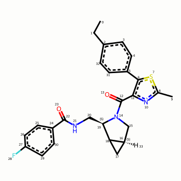 CCc1ccc(-c2sc(C)nc2C(=O)N2C[C@H]3CC3[C@H]2CNC(=O)c2ccc(F)cc2)cc1